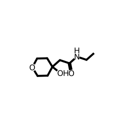 CCNC(=O)CC1(O)CCOCC1